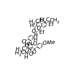 CCC(Oc1ccc(C(C)(C)CC)cc1C(C)(C)CC)C(=O)Nc1ccc(Cl)c(NC(=O)C(C(=O)c2ccc(OC)cc2)N2C(=O)NC(C)(C)C2=O)c1